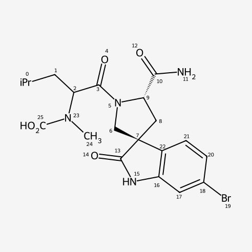 CC(C)CC(C(=O)N1C[C@]2(C[C@H]1C(N)=O)C(=O)Nc1cc(Br)ccc12)N(C)C(=O)O